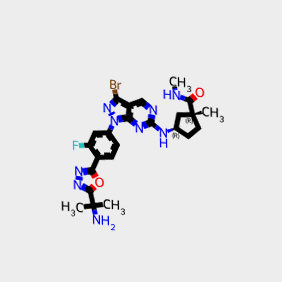 CNC(=O)[C@]1(C)CC[C@@H](Nc2ncc3c(Br)nn(-c4ccc(-c5nnc(C(C)(C)N)o5)c(F)c4)c3n2)C1